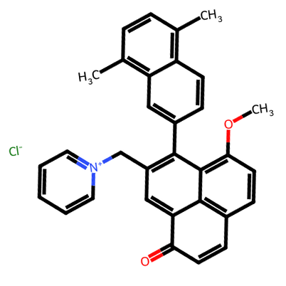 COc1ccc2c3c(cc(C[n+]4ccccc4)c(-c4ccc5c(C)ccc(C)c5c4)c13)C(=O)C=C2.[Cl-]